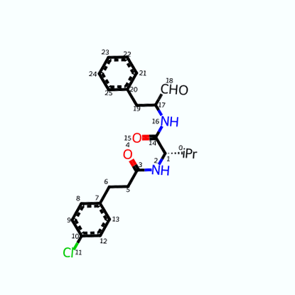 CC(C)[C@H](NC(=O)CCc1ccc(Cl)cc1)C(=O)NC(C=O)Cc1ccccc1